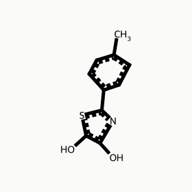 Cc1ccc(-c2nc(O)c(O)s2)cc1